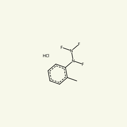 Cc1ccccc1N(F)N(F)F.Cl